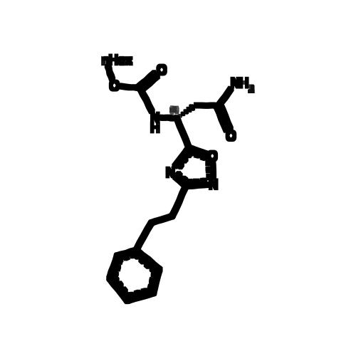 CCCCCCOC(=O)N[C@H](CC(N)=O)c1nc(CCc2ccccc2)no1